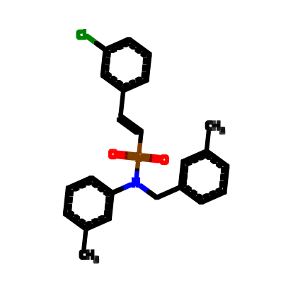 Cc1cccc(CN(c2cccc(C)c2)S(=O)(=O)/C=C/c2cccc(Cl)c2)c1